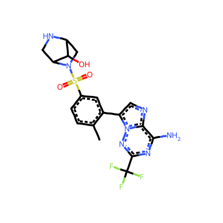 Cc1ccc(S(=O)(=O)N2CC3NCC2C3O)cc1-c1cnc2c(N)nc(C(F)(F)F)nn12